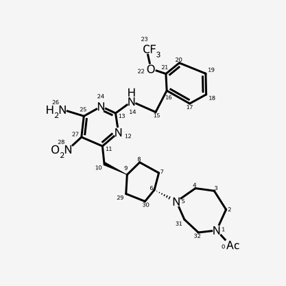 CC(=O)N1CCCN([C@H]2CC[C@H](Cc3nc(NCc4ccccc4OC(F)(F)F)nc(N)c3[N+](=O)[O-])CC2)CC1